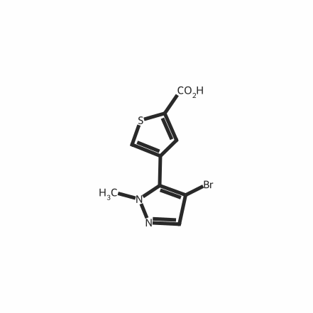 Cn1ncc(Br)c1-c1csc(C(=O)O)c1